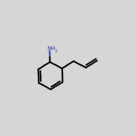 C=CCC1C=CC=C[C]1N